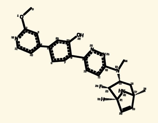 COc1cc(-c2ccc(-c3ccc(N(C)[C@@H]4C[C@@]5(C)C=C[C@H](N5)[C@@H]4F)nn3)c(O)c2)ccn1